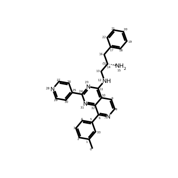 Cc1cccc(-c2nccc3c(NC[C@@H](N)Cc4ccccc4)nc(-c4ccncc4)nc23)c1